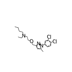 CCCCN(CC)CCOCc1cc(C)n(-c2ccc(Cl)c(Cl)c2)n1